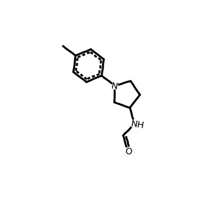 Cc1ccc(N2CCC(NC=O)C2)cc1